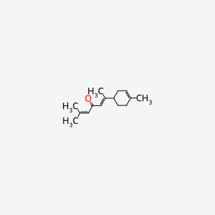 CC(C)=CC(=O)C=C(C)C1CC=C(C)CC1